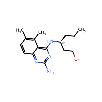 CCC[C@@H](CCO)Nc1nc(N)nc2ccc(C)c(C)c12